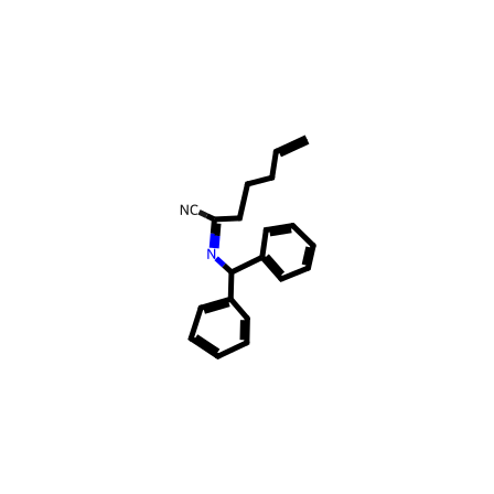 C=CCCCC(C#N)=NC(c1ccccc1)c1ccccc1